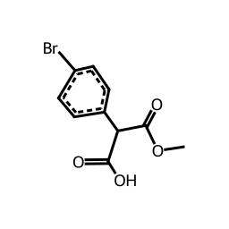 COC(=O)C(C(=O)O)c1ccc(Br)cc1